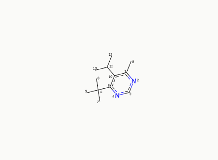 Cc1ncnc(C(C)(C)C)c1C(C)C